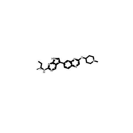 CC[C@H](C)Nc1ncc2c(-c3ccc4ncc(OC5CCN(C)CC5)nc4c3)c[nH]c2n1